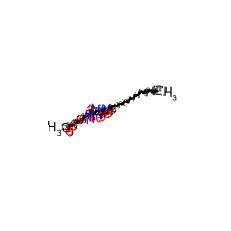 CCCCCCCCCCCCCCCC(=O)N[C@@H](CCC(=O)NCCOCCOCC(C)=O)C(=O)O